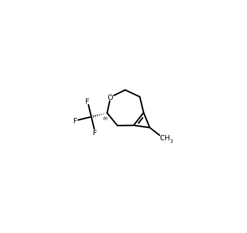 CC1C2=C1C[C@H](C(F)(F)F)OCC2